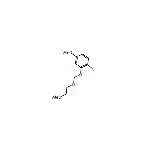 COCCOCOc1cc(OC)ccc1O